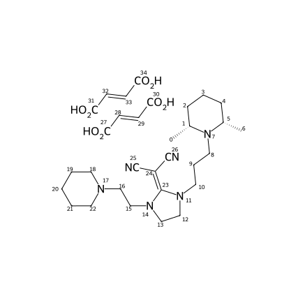 C[C@@H]1CCC[C@H](C)N1CCCN1CCN(CCN2CCCCC2)C1=C(C#N)C#N.O=C(O)/C=C/C(=O)O.O=C(O)/C=C/C(=O)O